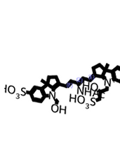 CC(=O)NC(=C\C=C1/CCC2(C)C1=[N+](CC(O)CS(=O)(=O)O)c1ccc(C)cc12)/C=C/C1=C2N(CO)c3ccc(S(=O)(=O)O)cc3C2(C)CC1